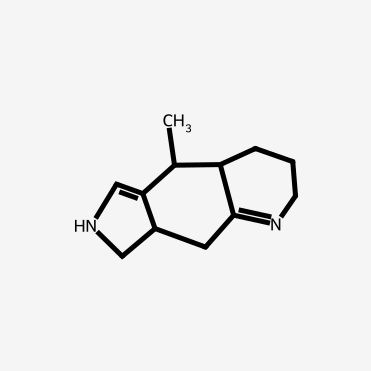 CC1C2=CNCC2CC2=NCCCC21